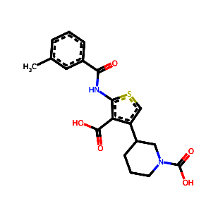 Cc1cccc(C(=O)Nc2scc(C3CCCN(C(=O)O)C3)c2C(=O)O)c1